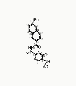 CCNc1ccc([C@@H](C)NC(=O)c2ccc3cc(C(C)(C)C)ccc3c2)nc1C